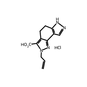 C=CCn1nc2c(c1C(=O)O)CCc1[nH]ncc1-2.Cl